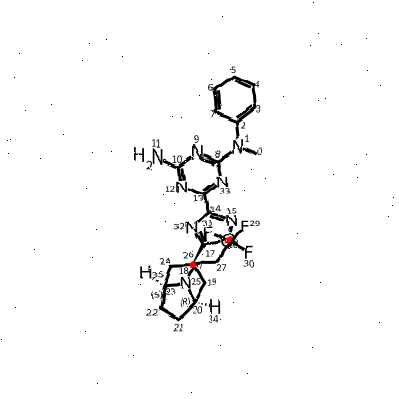 CN(c1ccccc1)c1nc(N)nc(-c2noc([C@H]3C[C@H]4CC[C@@H](C3)N4CCC(F)(F)F)n2)n1